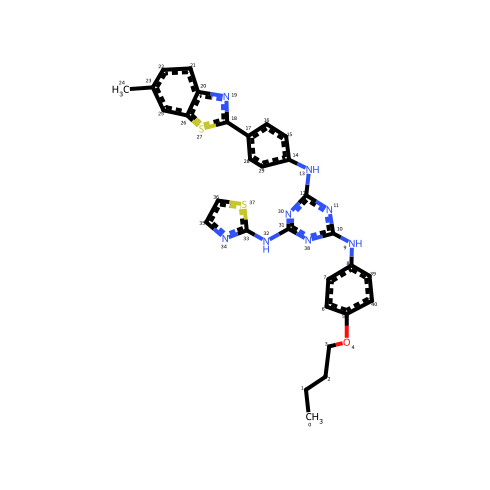 CCCCOc1ccc(Nc2nc(Nc3ccc(-c4nc5ccc(C)cc5s4)cc3)nc(Nc3nccs3)n2)cc1